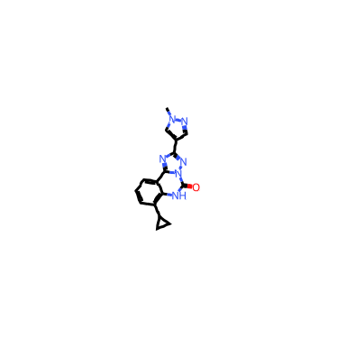 Cn1cc(-c2nc3c4cccc(C5CC5)c4[nH]c(=O)n3n2)cn1